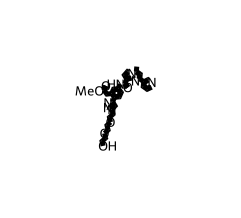 COC(=O)Cc1cc(NC(=O)c2ccn3c(C)cc(-c4cccnc4)nc23)ccc1-c1cn(CCOCCOCCO)nn1